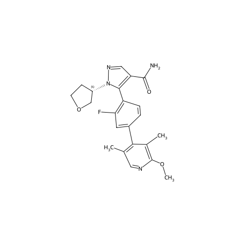 COc1ncc(C)c(-c2ccc(-c3c(C(N)=O)cnn3[C@H]3CCOC3)c(F)c2)c1C